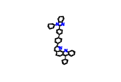 c1ccc(-c2c3ccccc3nc3c2ccc2ccc(-c4ccc(-c5ccc(-c6nc7ccccc7n6-c6ccccc6)cc5)cc4)nc23)cc1